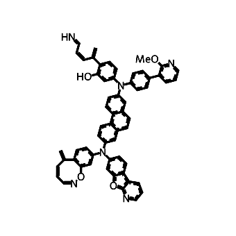 C=C(/C=C\C=N)c1ccc(N(c2ccc(-c3cccnc3OC)cc2)c2ccc3c(ccc4cc(N(c5ccc6c(c5)O/N=C\C=C/C6=C)c5ccc6c(c5)oc5ncccc56)ccc43)c2)cc1O